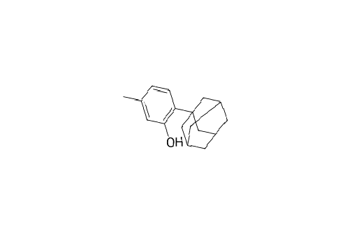 Cc1ccc(C23CC4CC(CC(C4)C2)C3)c(O)c1